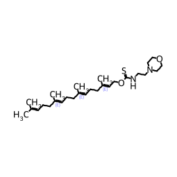 CC(C)=CCC/C(C)=C/CC/C(C)=C/CC/C(C)=C/COC(=S)NCCN1CCOCC1